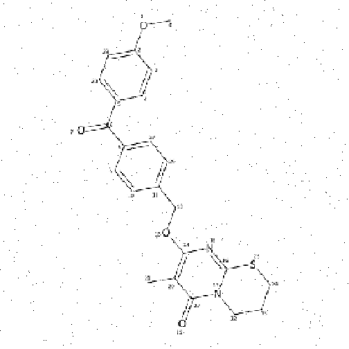 COc1ccc(C(=O)c2ccc(COc3nc4n(c(=O)c3C)CCCS4)cc2)cc1